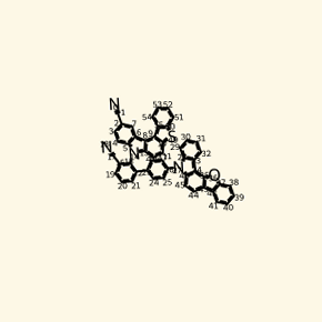 N#Cc1ccc2c(c1)c1c3c(ccc1n2-c1c(C#N)cccc1-c1ccc(-n2c4ccccc4c4c5oc6ccccc6c5ccc42)cc1)sc1ccccc13